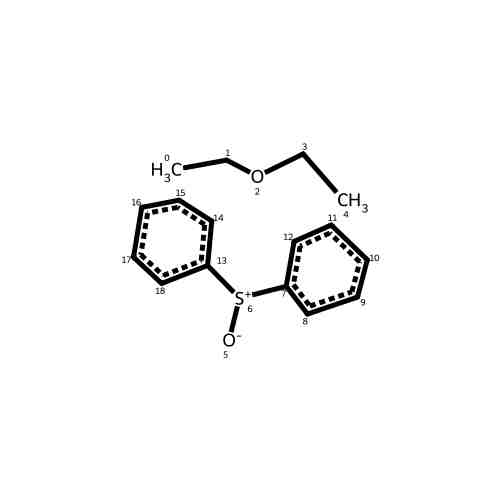 CCOCC.[O-][S+](c1ccccc1)c1ccccc1